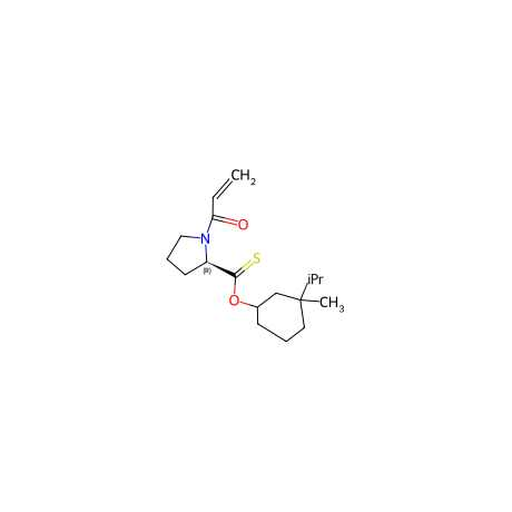 C=CC(=O)N1CCC[C@@H]1C(=S)OC1CCCC(C)(C(C)C)C1